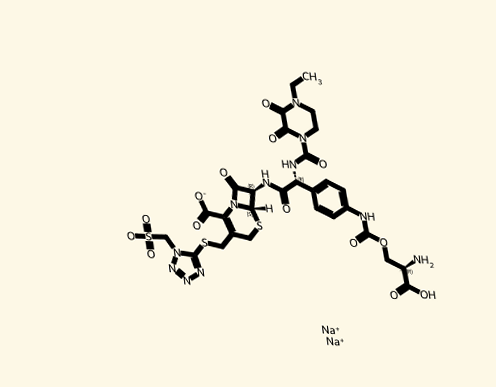 CCN1CCN(C(=O)N[C@@H](C(=O)N[C@@H]2C(=O)N3C(C(=O)[O-])=C(CSc4nnnn4CS(=O)(=O)[O-])CS[C@@H]23)c2ccc(NC(=O)OC[C@@H](N)C(=O)O)cc2)C(=O)C1=O.[Na+].[Na+]